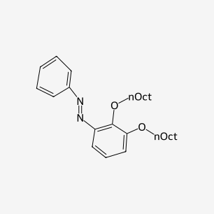 CCCCCCCCOc1cccc(N=Nc2ccccc2)c1OCCCCCCCC